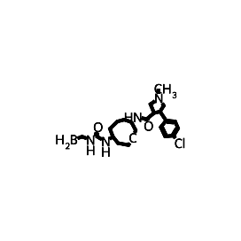 BCNC(=O)NC1CCCCC(NC(=O)C2CN(C)CC2c2ccc(Cl)cc2)CCC1